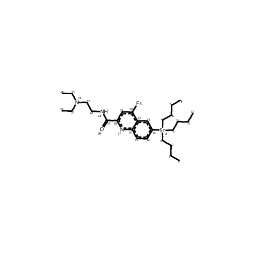 CCC[CH2][Sn]([CH2]CCC)([CH2]CCC)[c]1ccc2nc(C(=O)NCCN(CC)CC)cc(F)c2c1